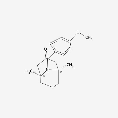 COc1ccc(CN2[C@@]3(C)CCC[C@]2(C)CC(=O)C3)cc1